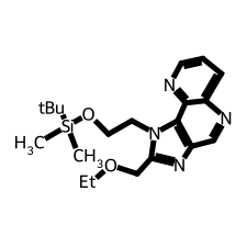 CCOCc1nc2cnc3cccnc3c2n1CCO[Si](C)(C)C(C)(C)C